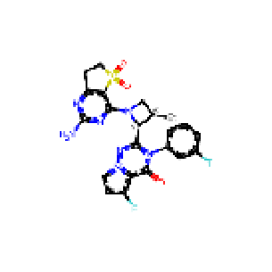 CC[C@@H]1CN(c2nc(N)nc3c2S(=O)(=O)CC3)[C@@H]1c1nn2ccc(F)c2c(=O)n1-c1cccc(F)c1